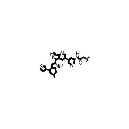 CC1C=C(c2ccsc2)c2cc(-c3n[nH]c4ncc(-c5cncc(NC(=O)CN(C)C)c5)cc34)[nH]c2C1